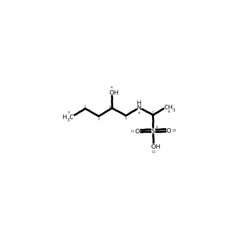 CCCC(O)CNC(C)S(=O)(=O)O